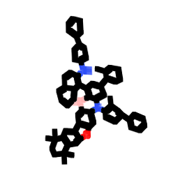 Cc1ccccc1-c1cc(-c2c(Nc3ccc(-c4ccccc4)cc3)ccc3ccccc23)c2c(c1)N(c1ccc(-c3ccccc3)cc1C)c1cc3oc4cc5c(cc4c3cc1B2)C(C)(C)CCC5(C)C